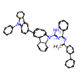 C=C(/N=C(\N=C(/N)N1c2ccc(-c3ccc4c(c3)c3ccccc3n4-c3ccccc3)cc2C2C=CC=CC21)c1ccccc1)c1cccc(-c2ccccc2)c1